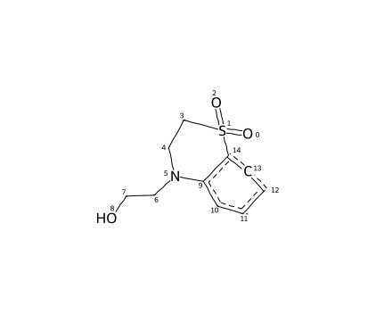 O=S1(=O)CCN(CCO)c2c[c]ccc21